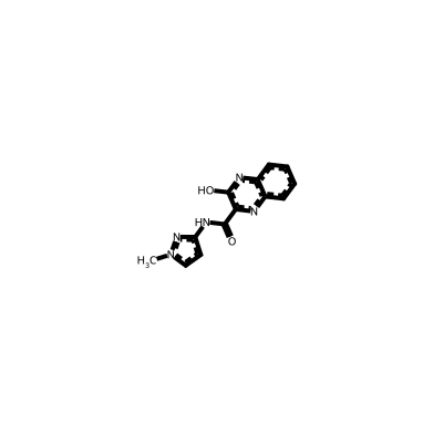 Cn1ccc(NC(=O)c2nc3ccccc3nc2O)n1